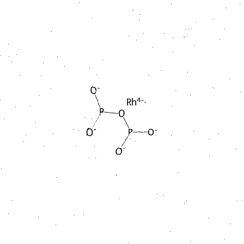 [O-]P([O-])OP([O-])[O-].[Rh+4]